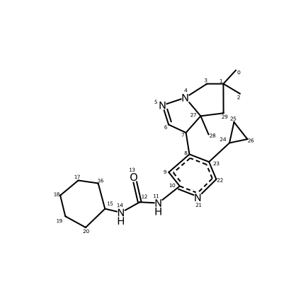 CC1(C)CN2N=CC(c3cc(NC(=O)NC4CCCCC4)ncc3C3CC3)C2(C)C1